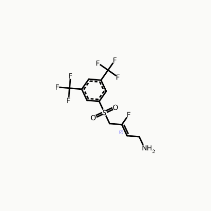 NC/C=C(\F)CS(=O)(=O)c1cc(C(F)(F)F)cc(C(F)(F)F)c1